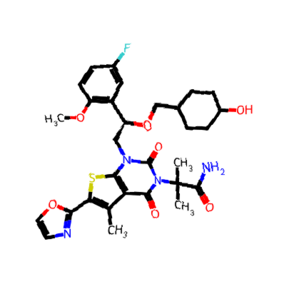 COc1ccc(F)cc1[C@H](Cn1c(=O)n(C(C)(C)C(N)=O)c(=O)c2c(C)c(-c3ncco3)sc21)OCC1CCC(O)CC1